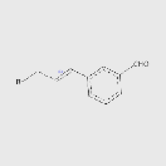 O=Cc1cccc(/C=C/CBr)c1